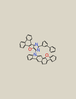 c1ccc(-c2cccc(-c3nc(-n4c5ccccc5c5cc6ccc7c8ccccc8oc7c6cc54)c4oc5c6ccccc6c6ccccc6c5c4n3)c2)cc1